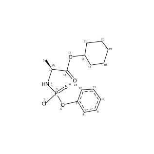 C[C@H](NP(=S)(Cl)Oc1ccccc1)C(=O)OC1CCCCC1